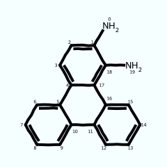 Nc1ccc2c3ccccc3c3ccccc3c2c1N